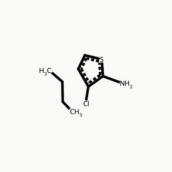 CCCC.Nc1sccc1Cl